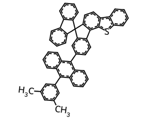 Cc1cc(C)cc(-c2c3ccccc3c(-c3ccc4c(c3)C3(c5ccccc5-c5ccccc53)c3ccc5c(sc6ccccc65)c3-4)c3ccccc23)c1